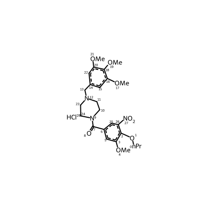 CCCOc1c(OC)cc(C(=O)N2CCN(Cc3cc(OC)c(OC)c(OC)c3)CC2)cc1[N+](=O)[O-].Cl